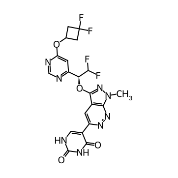 Cn1nc(O[C@@H](c2cc(OC3CC(F)(F)C3)ncn2)C(F)F)c2cc(-c3c[nH]c(=O)[nH]c3=O)nnc21